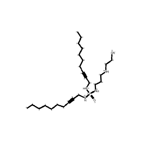 CCCCCCCC#CCNP(=O)(NCC#CCCCCCCC)NCCCNCCO